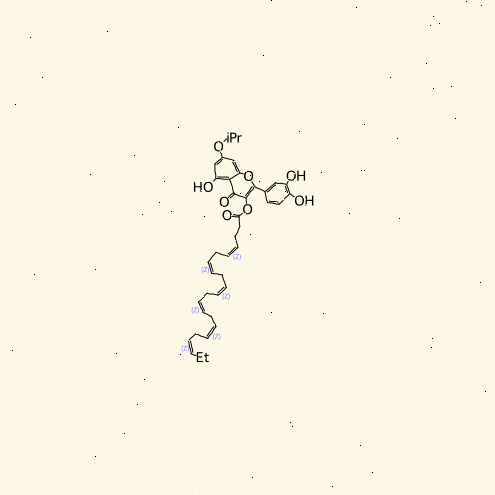 CC/C=C\C/C=C\C/C=C\C/C=C\C/C=C\C/C=C\CCC(=O)Oc1c(-c2ccc(O)c(O)c2)oc2cc(OC(C)C)cc(O)c2c1=O